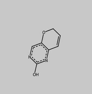 Oc1ncc2c(n1)C=CCO2